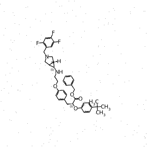 CC(C)(C)c1ccc(O[C@@H](Cc2ccc(OCCN[C@H]3C4CN(Cc5cc(F)c(F)cc5F)C[C@@H]43)cc2)C(=O)OCc2ccccc2)cc1